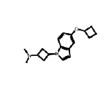 CN(C)C1CC(n2ccc3cc(OC4CCC4)ccc32)C1